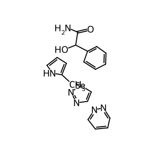 Cc1ccc[nH]1.NC(=O)C(O)c1ccccc1.c1c[se]nn1.c1ccnnc1